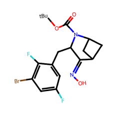 CC(C)(C)OC(=O)N1C2CC(C2)C(=NO)C1Cc1cc(F)cc(Br)c1F